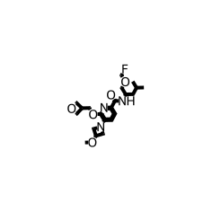 COC1CN(c2ccc(C(=O)NC(COCF)CC(C)C)nc2OCC2COC2)C1